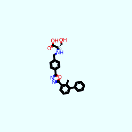 Cc1c(-c2ccccc2)cccc1-c1nnc(-c2ccc(CN[C@@H](CO)C(=O)O)cc2)o1